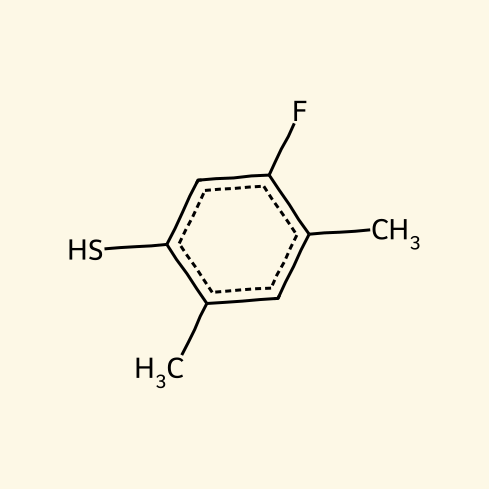 Cc1cc(C)c(S)cc1F